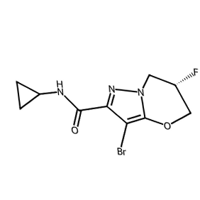 O=C(NC1CC1)c1nn2c(c1Br)OC[C@@H](F)C2